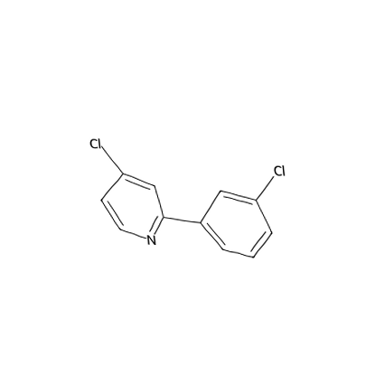 Clc1cccc(-c2cc(Cl)ccn2)c1